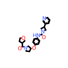 O=C(Nc1ccc(O[C@@H]2CCN(C(=O)C3CCOC3)C2)cc1)N1CC(c2cccnc2)C1